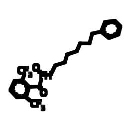 O=C(c1c(C(F)(F)F)cccc1C(F)(F)F)[PH](=O)CCCCCCCCc1ccccc1